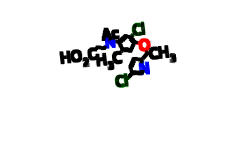 CC(=O)N(CCC(=O)O)c1cc(Cl)c(O[C@H](C)c2ccc(Cl)cn2)cc1C